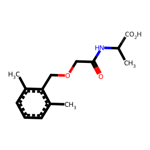 Cc1cccc(C)c1COCC(=O)NC(C)C(=O)O